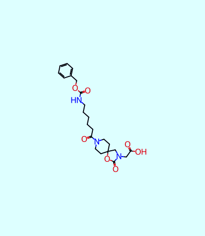 O=C(O)CN1CC2(CCN(C(=O)CCCCCNC(=O)OCc3ccccc3)CC2)OC1=O